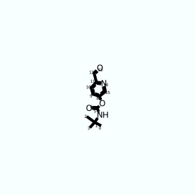 CC(C)(C)NC(=O)Oc1ccc(C=O)nc1